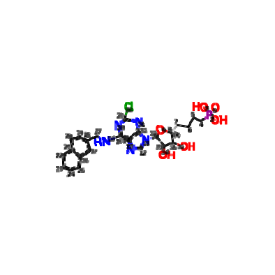 O=P(O)(O)CCCC[C@H]1O[C@@H](n2cnc3c(NCc4ccc5ccccc5c4)nc(Cl)nc32)C(O)C1O